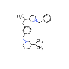 CC(C)C1CCCN(Cc2cccc(CC(C)C3CCN(Cc4ccccc4)C3)c2)C1